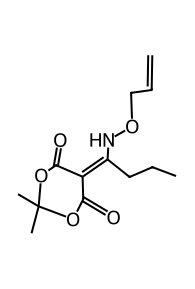 C=CCONC(CCC)=C1C(=O)OC(C)(C)OC1=O